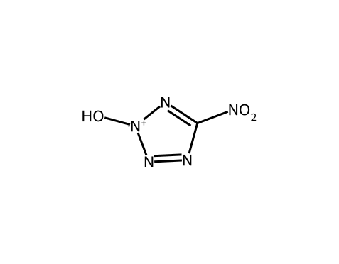 O=[N+]([O-])C1=N[N+](O)N=N1